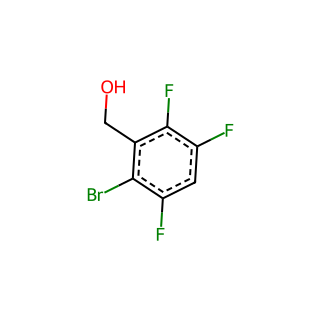 OCc1c(F)c(F)cc(F)c1Br